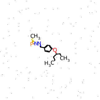 CCCC(CC)Oc1ccc(C=NN2P=S2C)cc1